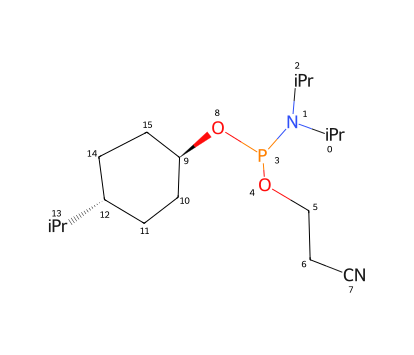 CC(C)N(C(C)C)P(OCCC#N)O[C@H]1CC[C@H](C(C)C)CC1